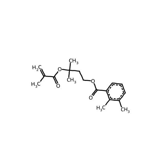 C=C(C)C(=O)OC(C)(C)CCOC(=O)c1cccc(C)c1C